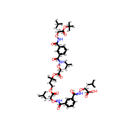 CC(C)C[C@@H](ONC(=O)c1cccc(C(=O)NO[C@H](CC(C)C)C(=O)OCCC(C)(C)OC(=O)[C@@H](CC(C)C)ONC(=O)c2cccc(C(=O)NO[C@H](CC(C)C)C(=O)OC(C)(C)C)c2)c1)C(=O)O